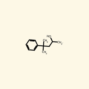 [CH2]C(O)CC(C)(C)c1ccccc1